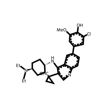 CCN(CC)[C@H]1CC[C@H](Nc2c(C3(C=O)CC3)cnc3ccc(-c4cc(Cl)c(O)c(OC)c4)cc23)CC1